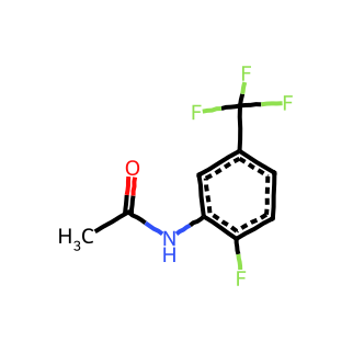 CC(=O)Nc1cc(C(F)(F)F)ccc1F